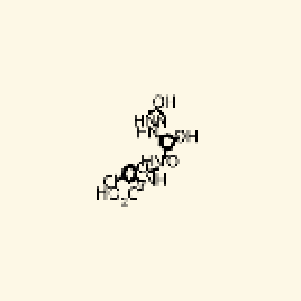 O=C(O)C[C@H](NC(=O)CNC(=O)c1cc(O)cc(NC2=NCC(O)CN2)c1)c1cccc(Cl)c1